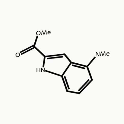 CNc1cccc2[nH]c(C(=O)OC)cc12